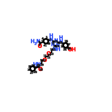 NC(=O)c1ccc(Nc2nc(NCCOCCOCCNC(=O)c3ccccc3)nc(Nc3ccc(O)cc3)n2)cc1